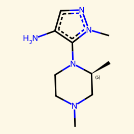 C[C@H]1CN(C)CCN1c1c(N)cnn1C